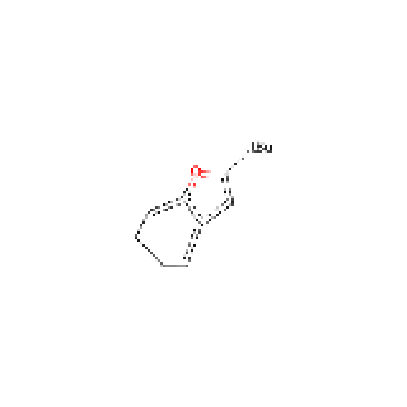 CC(C)(C)c1cc2c(o1)=CCCC=2